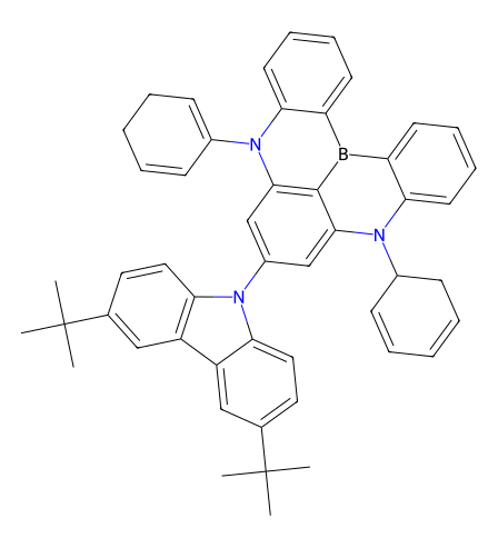 CC(C)(C)c1ccc2c(c1)c1cc(C(C)(C)C)ccc1n2-c1cc2c3c(c1)N(C1C=CC=CC1)c1ccccc1B3c1ccccc1N2C1=CCCC=C1